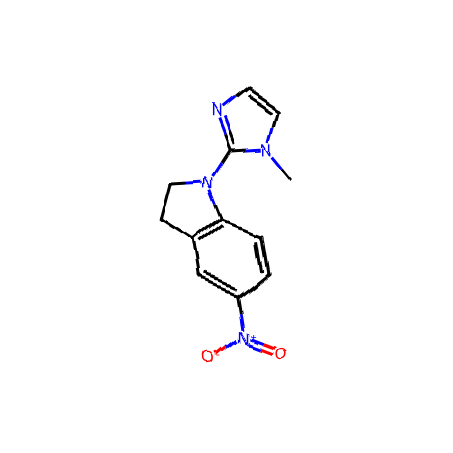 Cn1ccnc1N1CCc2cc([N+](=O)[O-])ccc21